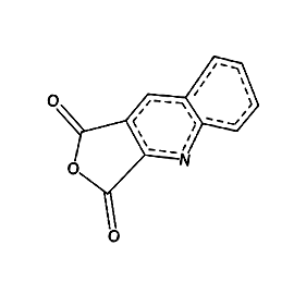 O=C1OC(=O)c2nc3ccccc3cc21